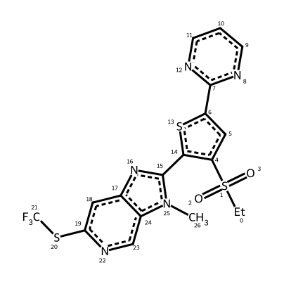 CCS(=O)(=O)c1cc(-c2ncccn2)sc1-c1nc2cc(SC(F)(F)F)ncc2n1C